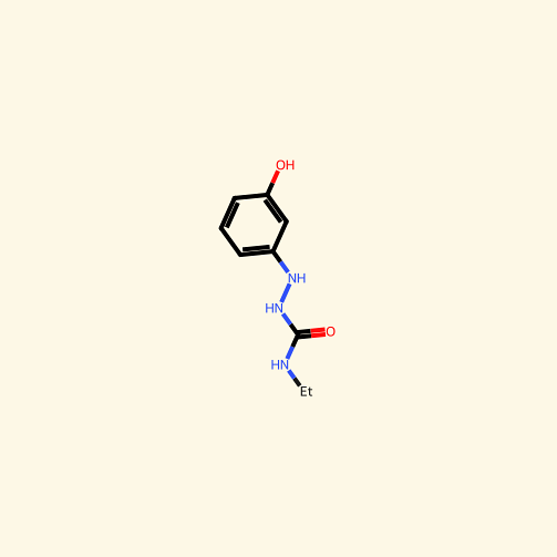 CCNC(=O)NNc1cccc(O)c1